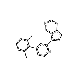 Cc1cccc(C)c1-c1ccnc(-n2ccc3ccncc32)c1